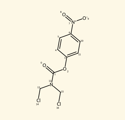 O=C(Oc1ccc([N+](=O)[O-])cc1)N(CCl)CCl